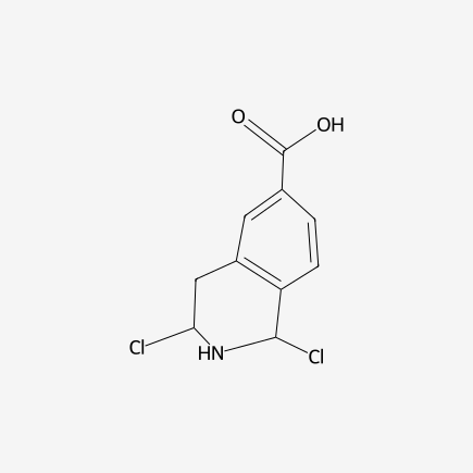 O=C(O)c1ccc2c(c1)CC(Cl)NC2Cl